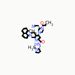 C=CC(=O)N1CCN(c2cc(C(=O)NC[C@@H]3CCCN3C)nc3c2CCN(c2cccc4cccc(C)c24)C3)C[C@@H]1CC#N